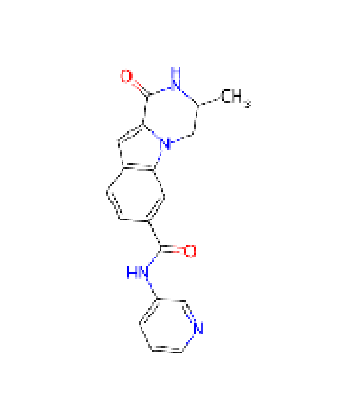 CC1Cn2c(cc3ccc(C(=O)Nc4cccnc4)cc32)C(=O)N1